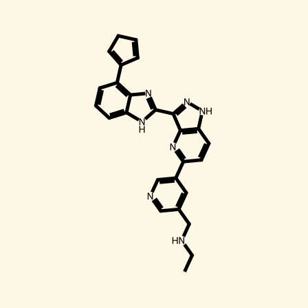 CCNCc1cncc(-c2ccc3[nH]nc(-c4nc5c(C6=CCC=C6)cccc5[nH]4)c3n2)c1